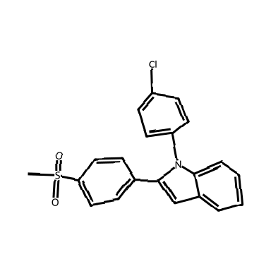 CS(=O)(=O)c1ccc(-c2cc3ccccc3n2-c2ccc(Cl)cc2)cc1